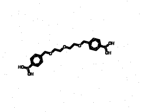 OB(O)c1ccc(COCCOCCOCc2ccc(B(O)O)cc2)cc1